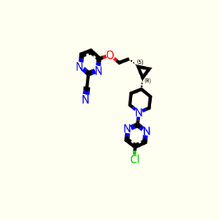 N#Cc1nccc(OCC[C@@H]2C[C@@H]2C2CCN(c3ncc(Cl)cn3)CC2)n1